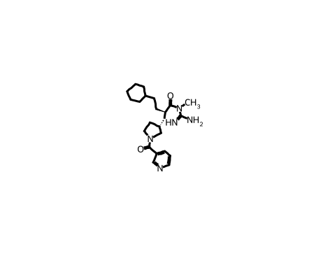 CN(C(=N)N)C(=O)[C@H](CCC1CCCCC1)C[C@H]1CCN(C(=O)c2cccnc2)C1